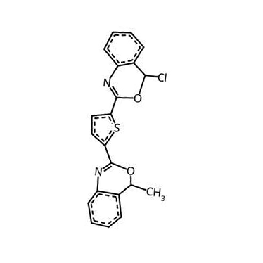 CC1OC(c2ccc(C3=Nc4ccccc4C(Cl)O3)s2)=Nc2ccccc21